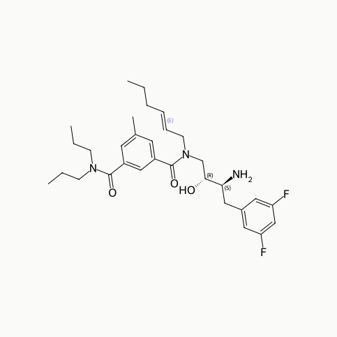 CCC/C=C/CN(C[C@@H](O)[C@@H](N)Cc1cc(F)cc(F)c1)C(=O)c1cc(C)cc(C(=O)N(CCC)CCC)c1